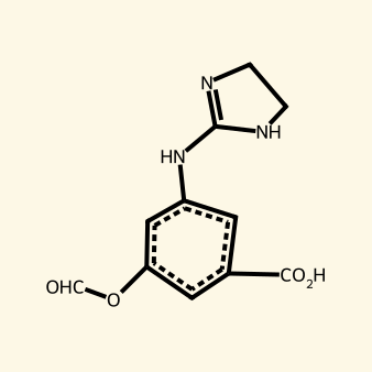 O=COc1cc(NC2=NCCN2)cc(C(=O)O)c1